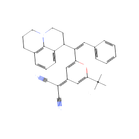 CC(C)(C)C1=CC(=C(C#N)C#N)C=C(C(=Cc2ccccc2)C2CCN3CCCc4cccc2c43)O1